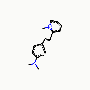 CN(C)c1ccc(C=Cc2cccc[n+]2C)cc1